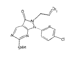 C=CCn1c(=O)c2cnc(SC)nc2n1-c1ccc(Cl)cn1